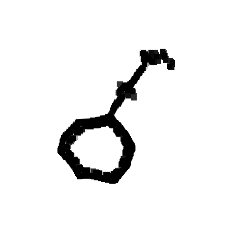 [NH2][Zn][c]1ccccc1